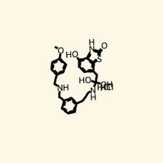 COc1ccc(CNCc2cccc(CCNC(O)(O)Cc3ccc(O)c4[nH]c(=O)sc34)c2)cc1.Cl.Cl